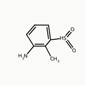 Cc1c(N)cccc1[SH](=O)=O